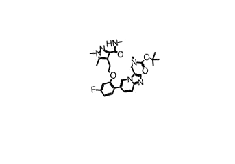 CNC(=O)c1nn(C)c(C)c1CCOc1cc(F)ccc1-c1ccc2ncc(CN(C)C(=O)OC(C)(C)C)n2c1